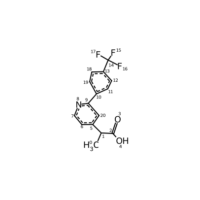 CC(C(=O)O)c1ccnc(-c2ccc(C(F)(F)F)cc2)c1